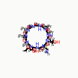 C/C=C/C[C@@H](C)[C@@H](O)[C@H]1C(=O)N[C@@H](CC)C(=O)N(C)[C@H](SCCN(C)C)C(=O)N(C)[C@@H](CCC(C)(C)O)C(=O)N[C@@H](C(C)C)C(=O)N(C)[C@@H](CC(C)C)C(=O)N[C@@H](C)C(=O)N[C@H](C)C(=O)N(C)[C@@H](CC(C)C)C(=O)N(C)[C@@H](CC(C)C)C(=O)N(C)[C@@H](C(C)C)C(=O)N1C